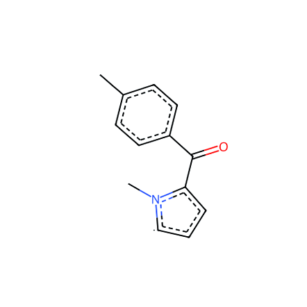 Cc1ccc(C(=O)c2cc[c]n2C)cc1